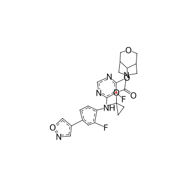 CC1(OC(=O)N2CC3COCC(C2)C3Oc2ncnc(Nc3ccc(-c4cnoc4)cc3F)c2F)CC1